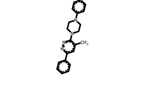 Cc1cc(-c2ccccc2)nnc1N1CCN(c2ccccc2)CC1